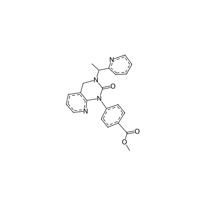 COC(=O)c1ccc(N2C(=O)N(C(C)c3ccccn3)Cc3cccnc32)cc1